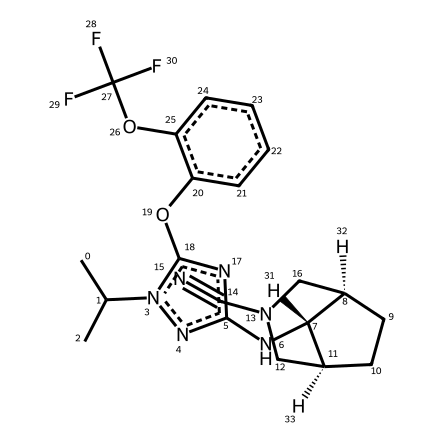 CC(C)n1nc(N[C@@H]2[C@@H]3CC[C@H]2CN(C#N)C3)nc1Oc1ccccc1OC(F)(F)F